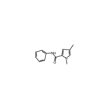 Cc1cc(C(=O)Nc2ccccc2)n(C)c1